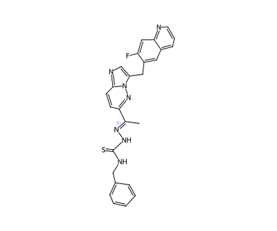 C/C(=N\NC(=S)NCc1ccccc1)c1ccc2ncc(Cc3cc4cccnc4cc3F)n2n1